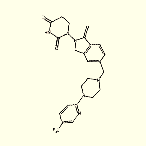 O=C1CCN(N2Cc3cc(CN4CCN(c5ccc(C(F)(F)F)cn5)CC4)ccc3C2=O)C(=O)N1